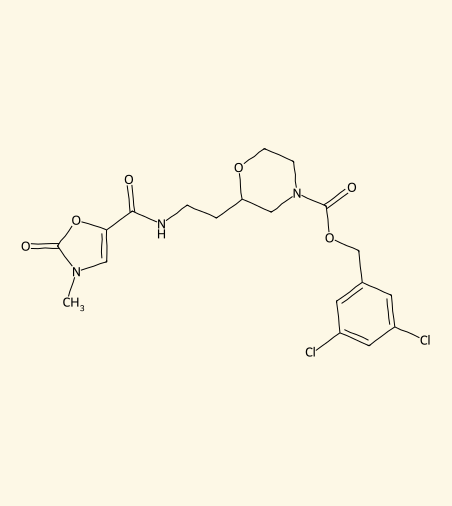 Cn1cc(C(=O)NCCC2CN(C(=O)OCc3cc(Cl)cc(Cl)c3)CCO2)oc1=O